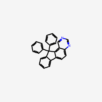 c1ccc(C2(c3ccccc3)c3ccccc3-c3ccc4ncncc4c32)cc1